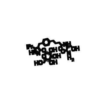 CC(C)c1[nH]nc(O[C@@H]2O[C@H](CO)[C@@H](O)[C@H](O)[C@H]2O)c1Cc1ccc(CCCC(=O)N[C@@H](CO)C(N)=O)cc1